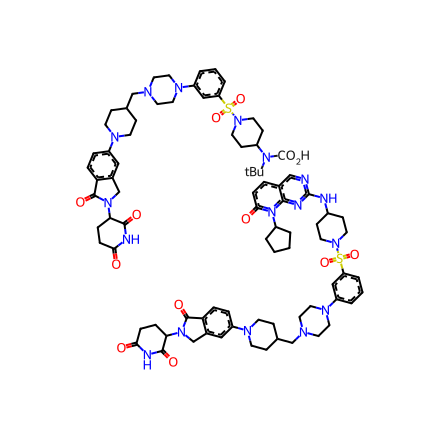 CC(C)(C)N(C(=O)O)C1CCN(S(=O)(=O)c2cccc(N3CCN(CC4CCN(c5ccc6c(c5)CN(C5CCC(=O)NC5=O)C6=O)CC4)CC3)c2)CC1.O=C1CCC(N2Cc3cc(N4CCC(CN5CCN(c6cccc(S(=O)(=O)N7CCC(Nc8ncc9ccc(=O)n(C%10CCCC%10)c9n8)CC7)c6)CC5)CC4)ccc3C2=O)C(=O)N1